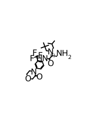 CC(C)CN(CC(C)(C)C)[C@@H](CN)C(=O)Nc1ccc(N2CCOCC2=O)cc1C(F)(F)F